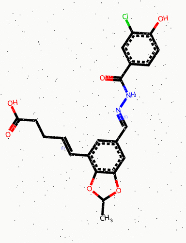 CC1Oc2cc(/C=N/NC(=O)c3ccc(O)c(Cl)c3)cc(/C=C/CCC(=O)O)c2O1